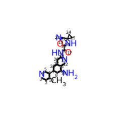 Cc1ccncc1-c1cc(N)c2cnc(NC(=O)C(=O)NC3(C#N)CC3)cc2c1